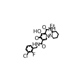 CCN1C(=O)c2c(O)c(=O)c(C(=O)NCc3cccc(Cl)c3F)cn2N2CCCC[C@@H]12